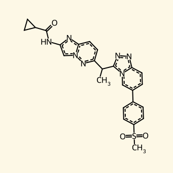 CC(c1ccc2nc(NC(=O)C3CC3)cn2n1)c1nnc2ccc(-c3ccc(S(C)(=O)=O)cc3)cn12